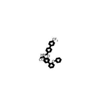 O=C(O)CC(NC(=O)c1ccc(-c2ccc(C(F)(F)F)cc2)cc1)c1ccc(-c2ccccc2Oc2ccccc2)cc1